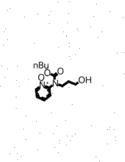 CCCCOC(=O)N(CCCO)c1cccc[n+]1[O-]